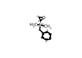 C[N+](C)(Cc1ccccc1)[C@@H]1CO1